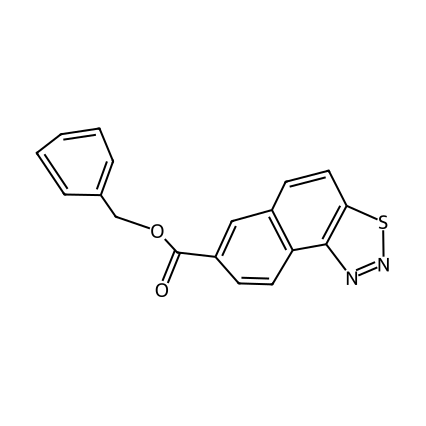 O=C(OCc1ccccc1)c1ccc2c(ccc3snnc32)c1